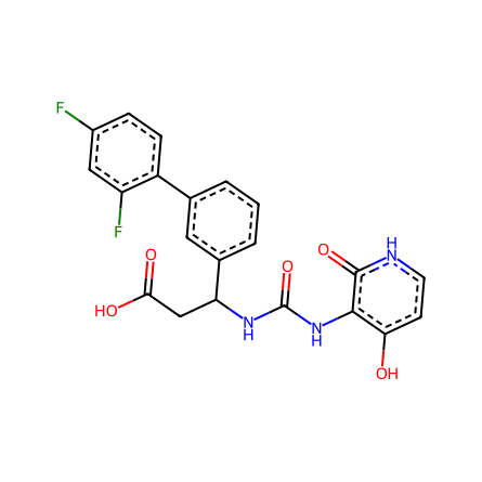 O=C(O)CC(NC(=O)Nc1c(O)cc[nH]c1=O)c1cccc(-c2ccc(F)cc2F)c1